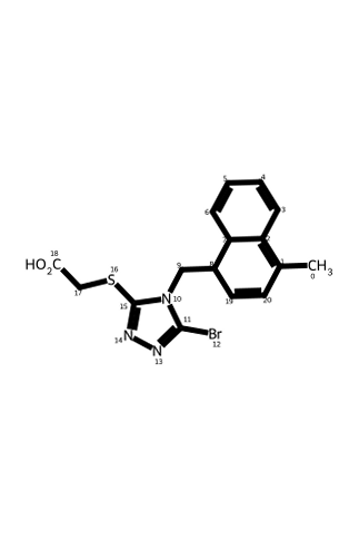 CC1=C2C=CC=CC2C(Cn2c(Br)nnc2SCC(=O)O)C=C1